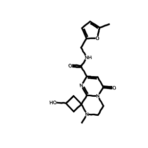 Cc1ccc(CNC(=O)c2cc(=O)n3c(n2)C2(CC(O)C2)N(C)CC3)o1